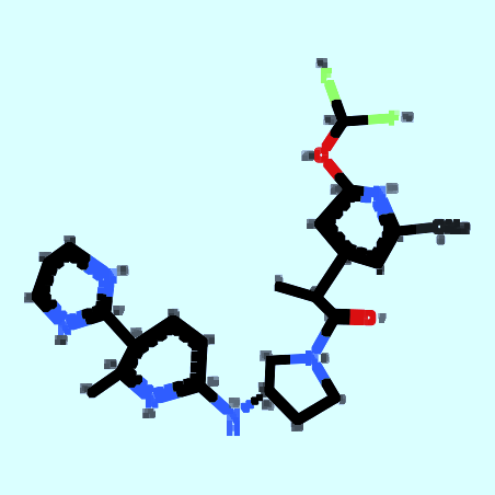 COc1cc(C(C)C(=O)N2CC[C@H](Nc3ccc(-c4ncccn4)c(C)n3)C2)cc(OC(F)F)n1